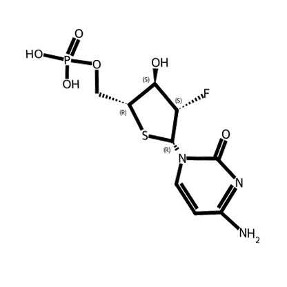 Nc1ccn([C@@H]2S[C@H](COP(=O)(O)O)[C@@H](O)[C@@H]2F)c(=O)n1